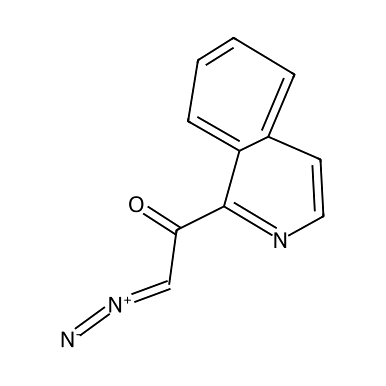 [N-]=[N+]=CC(=O)c1nccc2ccccc12